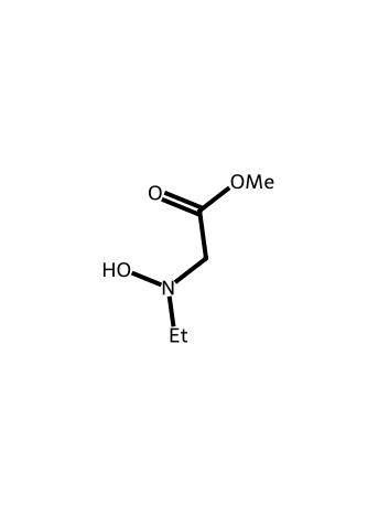 CCN(O)CC(=O)OC